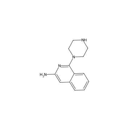 Nc1cc2ccccc2c(N2CCNCC2)n1